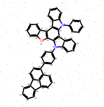 c1ccc(-n2c3ccccc3c3c4c5ccccc5oc4c4c(c5ccccc5n4-c4ccc(-c5ccc6c7c(cccc57)-c5ccccc5-6)cc4)c32)cc1